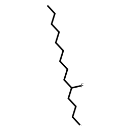 [CH2]CCCC(F)CCCCCCCCC